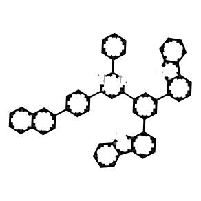 c1ccc(-c2nc(-c3ccc(-c4ccc5ccccc5c4)cc3)cc(-c3cc(-c4cccc5c4oc4ccccc45)cc(-c4cccc5c4oc4ccccc45)c3)n2)cc1